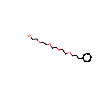 OCCOCCOCCOCCOCCCc1ccccc1